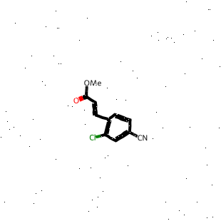 COC(=O)C=Cc1ccc(C#N)cc1Cl